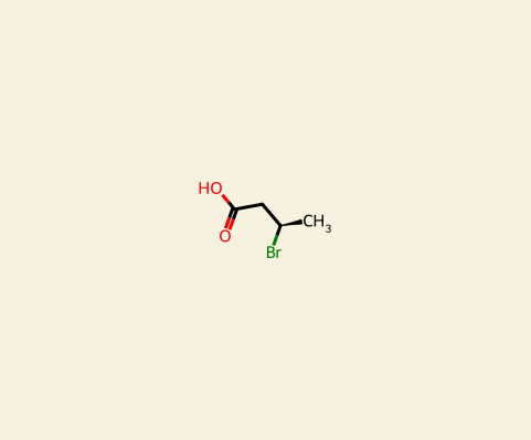 C[C@@H](Br)CC(=O)O